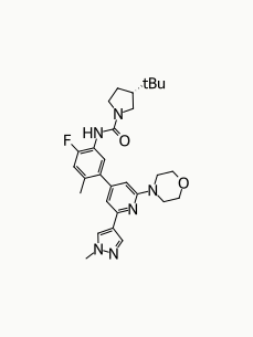 Cc1cc(F)c(NC(=O)N2CC[C@H](C(C)(C)C)C2)cc1-c1cc(-c2cnn(C)c2)nc(N2CCOCC2)c1